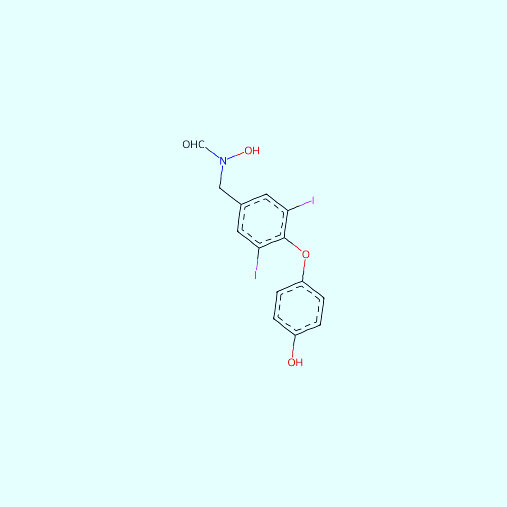 O=CN(O)Cc1cc(I)c(Oc2ccc(O)cc2)c(I)c1